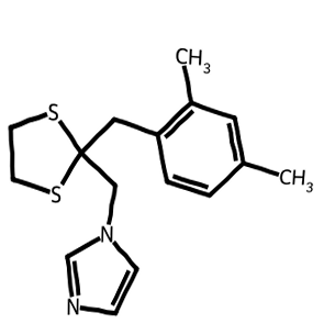 Cc1ccc(CC2(Cn3ccnc3)SCCS2)c(C)c1